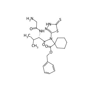 CC(C)[C@H](NC(=O)CN)C(=O)N(c1n[nH]c(=S)s1)C1(C(=O)OCc2ccccc2)CCCCC1